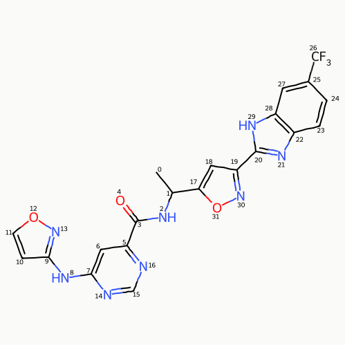 CC(NC(=O)c1cc(Nc2ccon2)ncn1)c1cc(-c2nc3ccc(C(F)(F)F)cc3[nH]2)no1